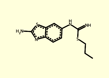 CCCSC(=N)Nc1ccc2nc(N)sc2c1